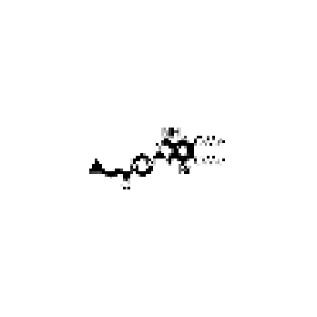 COc1cc2c(N)nc(N3CCN(C(=O)C=CC4CC4)CC3)nc2c(Br)c1OC